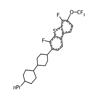 CCCC1CCC(C2CCC(c3ccc4c(sc5c(F)c(OC(F)(F)F)ccc54)c3F)CC2)CC1